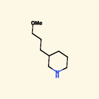 COCCCC1CCCNC1